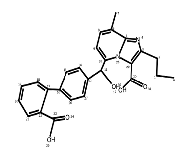 CCCc1nc2c(C)ccc(C(O)c3ccc(-c4ccccc4C(=O)O)cc3)n2c1C(=O)O